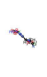 CC1(C)[C@H](Oc2ccc(C#N)c(Cl)c2)C(C)(C)[C@H]1N1Cc2cc(C#CC3CCN(C4CCN(c5cc6c(cc5F)C(=O)N(C5CCC(=O)NC5=O)C6=O)CC4)CC3)ccc2C1=O